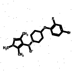 Cc1nn(C)c(C)c1[S+]([O-])N1CCC(Oc2ccc(Br)cc2F)CC1